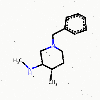 CNC1CN(Cc2ccccc2)CC[C@H]1C